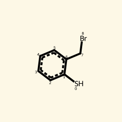 Sc1ccccc1CBr